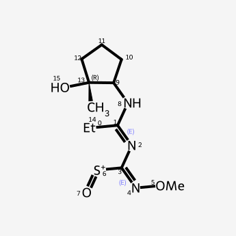 CC/C(=N\C(=N/OC)[S+]=O)NC1CCC[C@@]1(C)O